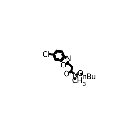 CCCCON(C)C(=O)Cc1nc2ccc(Cl)cc2o1